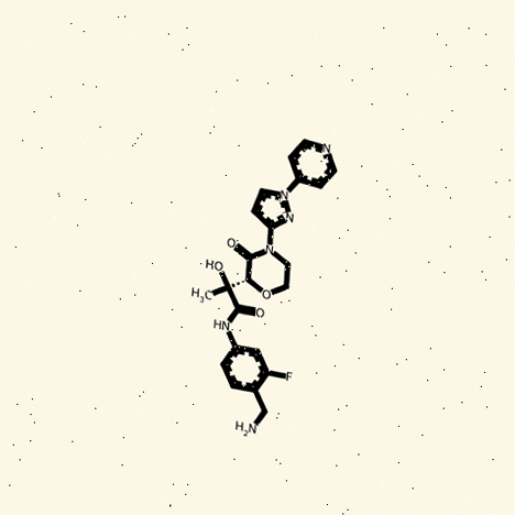 CC(O)(C(=O)Nc1ccc(CN)c(F)c1)[C@H]1OCCN(c2ccn(-c3ccncc3)n2)C1=O